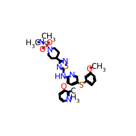 COc1cccc(Sc2cnc(Nc3nc(C4CCN(S(=O)(=O)N(C)C)CC4)ns3)c(Oc3cccnc3C)c2)c1